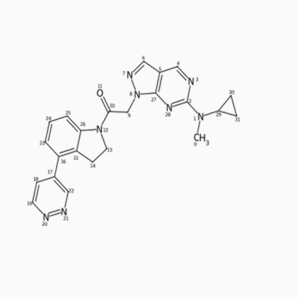 CN(c1ncc2cnn(CC(=O)N3CCc4c(-c5ccnnc5)cccc43)c2n1)C1CC1